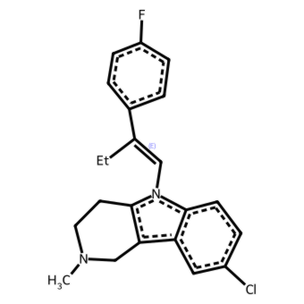 CC/C(=C\n1c2c(c3cc(Cl)ccc31)CN(C)CC2)c1ccc(F)cc1